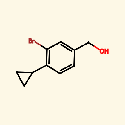 O[CH]c1ccc(C2CC2)c(Br)c1